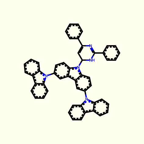 C1=C(c2ccccc2)N=C(c2ccccc2)NC1n1c2ccc(-n3c4ccccc4c4ccccc43)cc2c2cc(-n3c4ccccc4c4ccccc43)ccc21